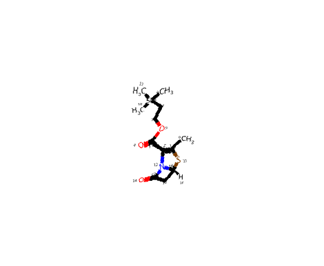 CC1=C(C(=O)OCC[Si](C)(C)C)N2C(=O)C[C@H]2S1